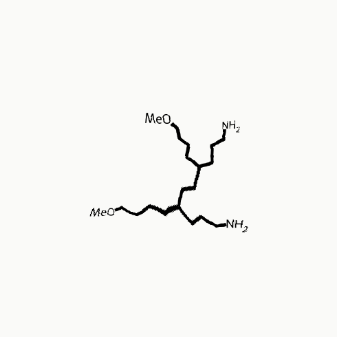 COCCCCC(CCCN)CCC(CCCN)CCCCOC